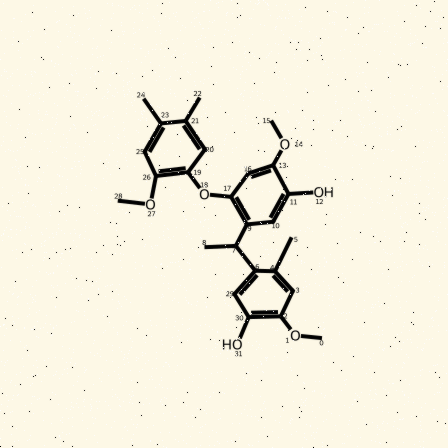 COc1cc(C)c(C(C)c2cc(O)c(OC)cc2Oc2cc(C)c(C)cc2OC)cc1O